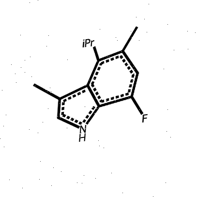 Cc1cc(F)c2[nH]cc(C)c2c1C(C)C